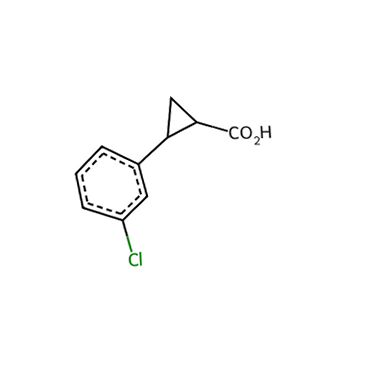 O=C(O)C1CC1c1cccc(Cl)c1